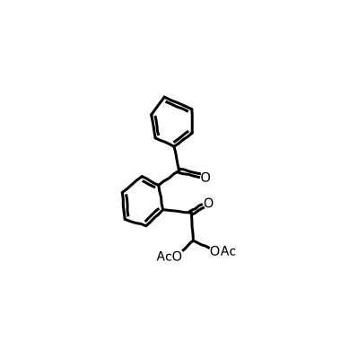 CC(=O)OC(OC(C)=O)C(=O)c1ccccc1C(=O)c1ccccc1